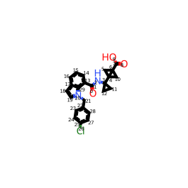 O=C(NC1(C23CC2(C(=O)O)C3)CC1)c1cccc2ccn(Cc3ccc(Cl)cc3)c12